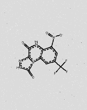 O=c1[nH]c2c([N+](=O)[O-])cc(C(F)(F)F)cc2n2c(=O)[nH]nc12